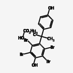 CC(C)(c1ccc(O)cc1)c1c(Br)c(Br)c(O)c(Br)c1Br.O=C(O)O